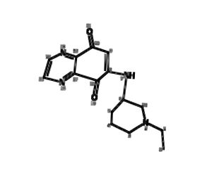 CCN1CCCC(NC2=CC(=O)c3nccnc3C2=O)C1